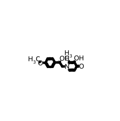 COc1ccc([C@@H](O)Cn2ccc(=O)c(O)c2C)cc1